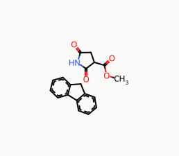 COC(=O)C1CC(=O)NC1=O.c1ccc2c(c1)Cc1ccccc1-2